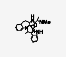 CNC(C)C(=O)NC1CCc2ccccc2N(C(C)c2n[nH]c3ccccc23)C1=O